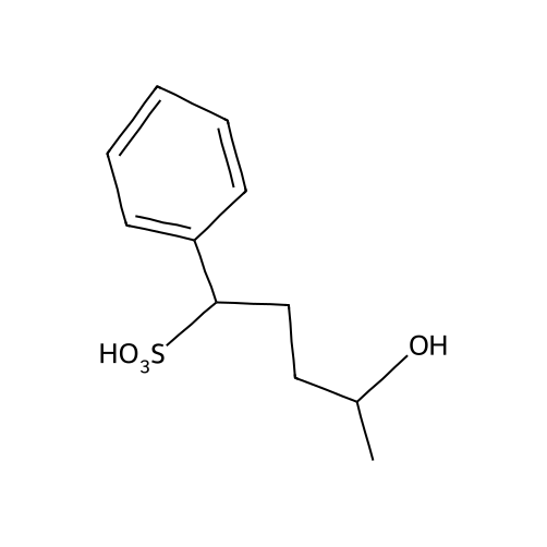 CC(O)CCC(c1ccccc1)S(=O)(=O)O